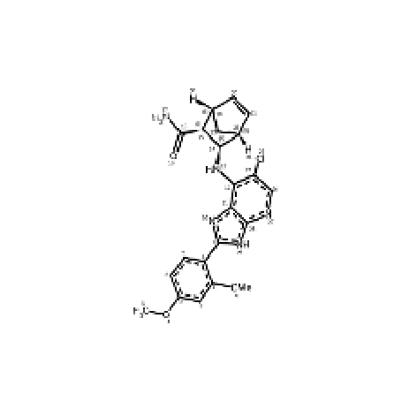 COc1cc(OC(F)(F)F)ccc1-c1nc2c(N[C@H]3[C@@H](C(N)=O)[C@@H]4C=C[C@H]3C4)c(Cl)cnc2[nH]1